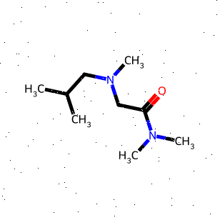 CC(C)CN(C)CC(=O)N(C)C